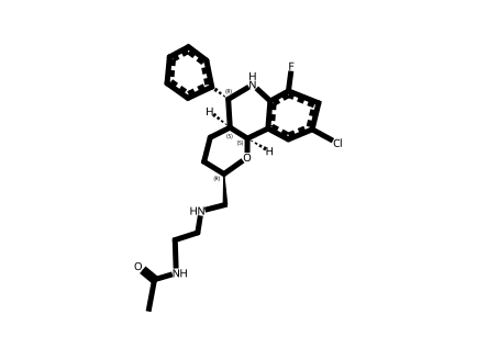 CC(=O)NCCNC[C@H]1CC[C@@H]2[C@H](O1)c1cc(Cl)cc(F)c1N[C@H]2c1ccccc1